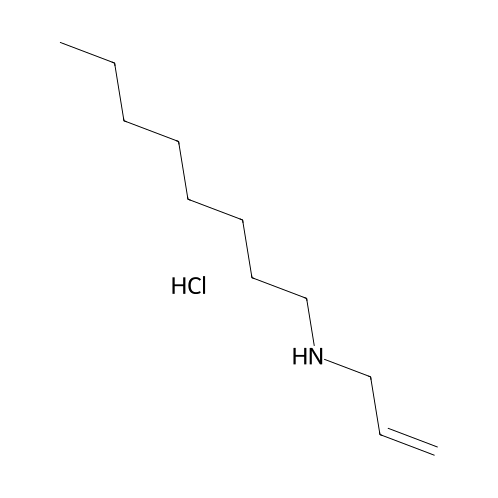 C=CCNCCCCCCCC.Cl